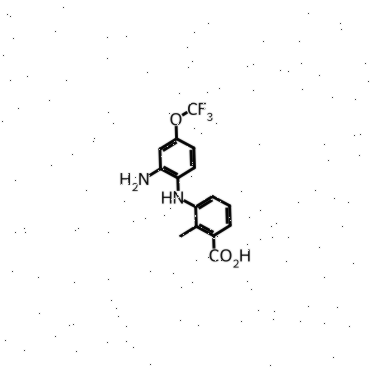 Cc1c(Nc2ccc(OC(F)(F)F)cc2N)cccc1C(=O)O